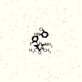 CN1C(=O)C2(C)C[C@]2(c2cc(Nc3ccccc3Cl)ccc2F)N=C1N